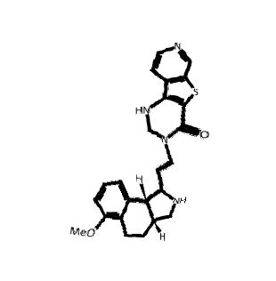 COc1cccc2c1CC[C@H]1CNC(CCN3CNc4c(sc5cnccc45)C3=O)[C@@H]21